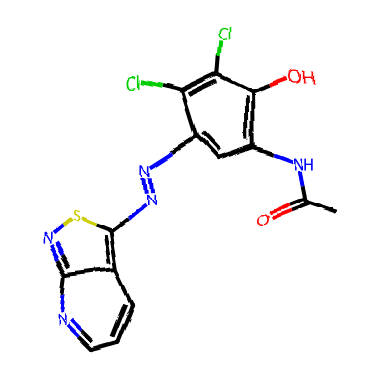 CC(=O)Nc1cc(/N=N/c2snc3ncccc23)c(Cl)c(Cl)c1O